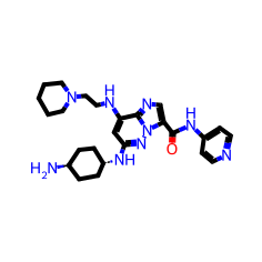 N[C@H]1CC[C@H](Nc2cc(NCCN3CCCCC3)c3ncc(C(=O)Nc4ccncc4)n3n2)CC1